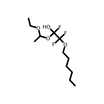 CCCCCCOC(F)(F)C(O)(F)OC(C)OCC